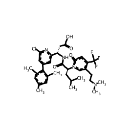 Cc1cc(C)c(-c2cc(Cl)nc([C@H](CC(=O)O)NC(=O)[C@H](CC(C)C)n3cc(CCN(C)C)c(C(F)(F)F)cc3=O)c2)c(C)c1